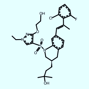 CCn1cc(S(=O)(=O)N2C[C@H](CCC(C)(C)O)Cc3ccc(/C=C(\C)c4c(F)cccc4Cl)cc32)c(OCCO)n1